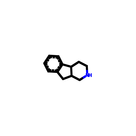 c1ccc2c(c1)CC1CNCCC21